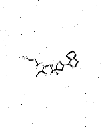 CC(C)[C@@]1(C(=O)N[C@@H](CC(=O)OCC(F)(F)F)C(=O)CF)CC(c2nccc3ccccc23)=NO1